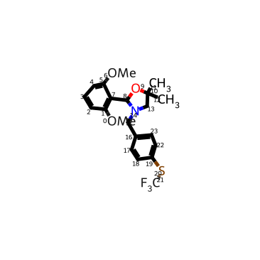 COc1cccc(OC)c1C1OC(C)(C)CN1Cc1ccc(SC(F)(F)F)cc1